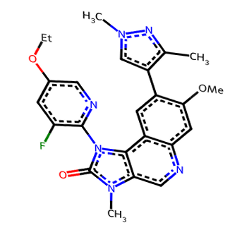 CCOc1cnc(-n2c(=O)n(C)c3cnc4cc(OC)c(-c5cn(C)nc5C)cc4c32)c(F)c1